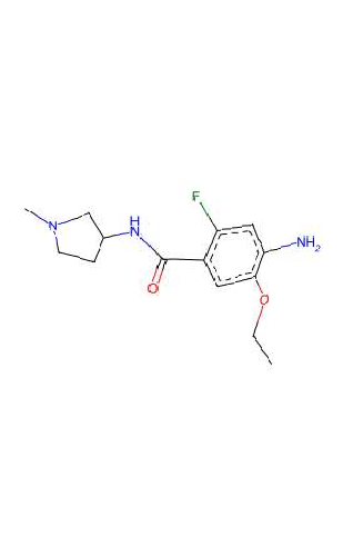 CCOc1cc(C(=O)NC2CCN(C)C2)c(F)cc1N